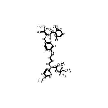 COC(=O)[C@H](Cc1ccc(OCCCN(C(=O)OC(C)(C)C)c2ccc(C)cn2)cc1)NC(=O)c1c(Cl)cccc1Cl